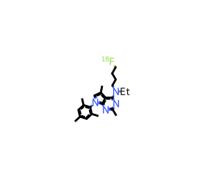 CCN(CCCC[18F])c1nc(C)nc2c1c(C)cn2-c1c(C)cc(C)cc1C